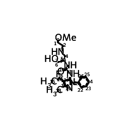 COCCNC[C@H](CO)NC(=O)Nc1c(C(C)F)c(C)nn1-c1ccccc1